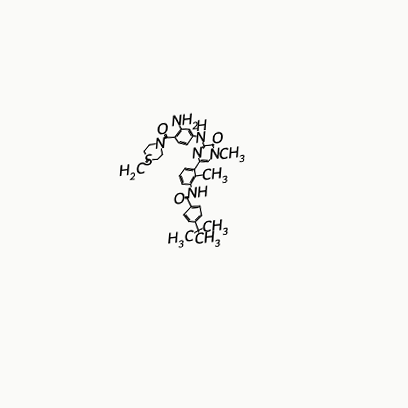 C=S1CCN(C(=O)c2ccc(Nc3nc(-c4cccc(NC(=O)c5ccc(C(C)(C)C)cc5)c4C)cn(C)c3=O)cc2N)CC1